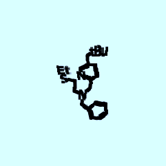 CCSCCN(Cc1ccccc1)Cc1ccc(CC(C)(C)C)cn1